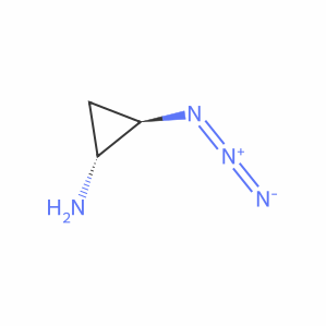 [N-]=[N+]=N[C@@H]1C[C@H]1N